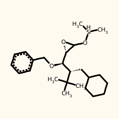 C[SiH](C)OC1O[C@H]1[C@H](OCc1ccccc1)[C@H](CC1CCCCC1)C(C)(C)C